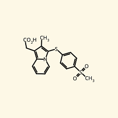 Cc1c(CC(=O)O)c2ccccn2c1Sc1ccc(S(C)(=O)=O)cc1